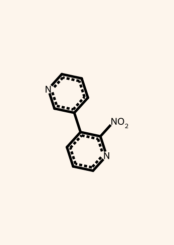 O=[N+]([O-])c1ncccc1-c1cccnc1